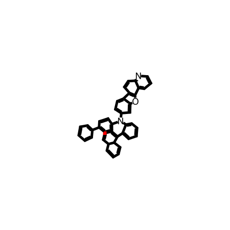 C1=CC2C=CC=C(c3ccccc3N(c3ccc(-c4ccccc4)cc3)c3ccc4c(c3)oc3c5cccnc5ccc43)C2C=C1